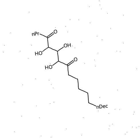 CCCCCCCCCCCCCCCC(=O)C(O)C(O)C(O)C(=O)CCC